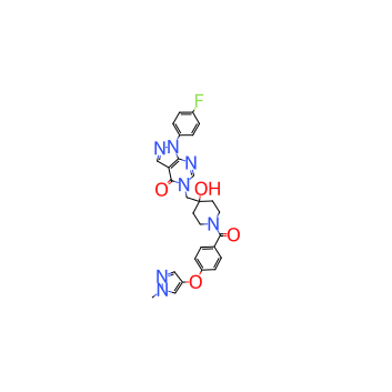 Cn1cc(Oc2ccc(C(=O)N3CCC(O)(Cn4cnc5c(cnn5-c5ccc(F)cc5)c4=O)CC3)cc2)cn1